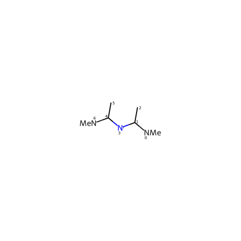 CNC(C)[N]C(C)NC